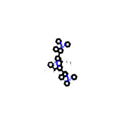 CC1(C)C2=C(CCC=C2)N2c3ccc(-c4ccc(N(c5ccccc5)c5ccccc5)c5ccccc45)cc3C(C)(C)c3cc(-c4ccc(N(c5ccccc5)c5ccccc5)c5ccccc45)cc1c32